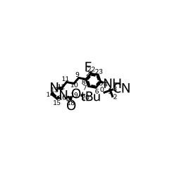 CC(C)(C#N)Nc1ccc(CCCc2nccn2C(=O)OC(C)(C)C)c(F)c1